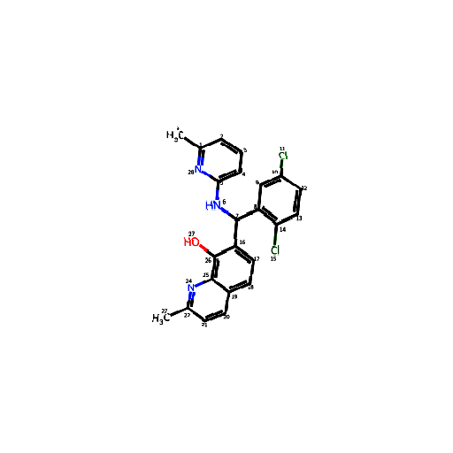 Cc1cccc(NC(c2cc(Cl)ccc2Cl)c2ccc3ccc(C)nc3c2O)n1